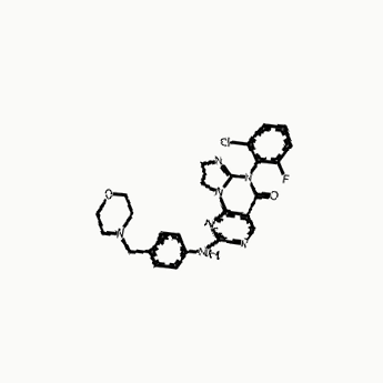 O=C1c2cnc(Nc3ccc(CN4CCOCC4)cc3)nc2N2CCN=C2N1c1c(F)cccc1Cl